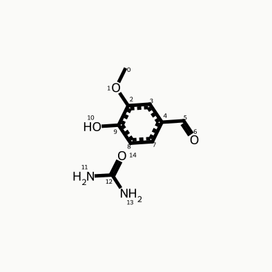 COc1cc(C=O)ccc1O.NC(N)=O